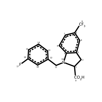 O=C(O)C1Cc2cc(C(F)(F)F)ccc2N1Cc1cccc(F)c1